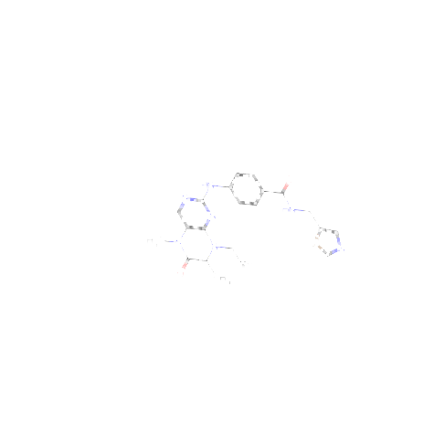 CC(C)CN1c2nc(Nc3ccc(C(=O)NCc4cncs4)cc3)ncc2N(C)C(=O)C1C